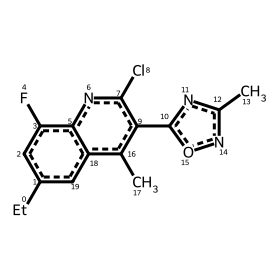 CCc1cc(F)c2nc(Cl)c(-c3nc(C)no3)c(C)c2c1